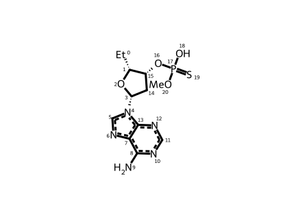 CC[C@H]1O[C@@H](n2cnc3c(N)ncnc32)C[C@H]1OP(O)(=S)OC